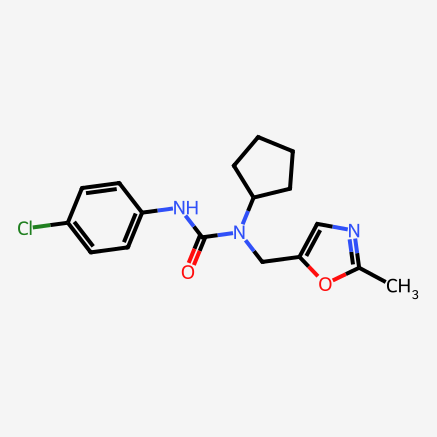 Cc1ncc(CN(C(=O)Nc2ccc(Cl)cc2)C2CCCC2)o1